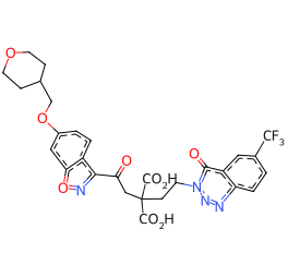 O=C(CC(CCn1nnc2ccc(C(F)(F)F)cc2c1=O)(C(=O)O)C(=O)O)c1noc2cc(OCC3CCOCC3)ccc12